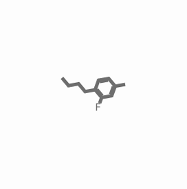 CCCCc1ccc(C)cc1F